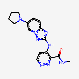 CNC(=O)c1nnccc1Nc1nc2ccc(N3CCCC3)cn2n1